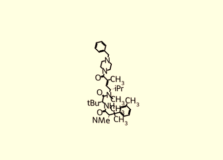 CN[C@H](C(=O)N[C@H](C(=O)N(C)[C@H](/C=C(\C)C(=O)N1CCN(Cc2ccccc2)CC1)C(C)C)C(C)(C)C)C(C)(C)c1cccc(C)c1